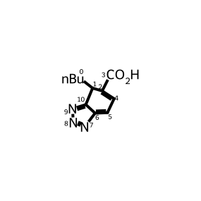 CCCCC1C(C(=O)O)=CC=C2N=NN=C21